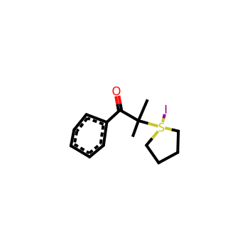 CC(C)(C(=O)c1ccccc1)S1(I)CCCC1